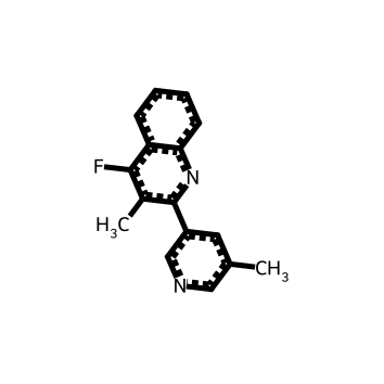 Cc1cncc(-c2nc3ccccc3c(F)c2C)c1